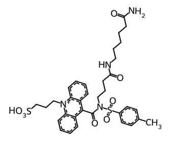 Cc1ccc(S(=O)(=O)N(CCCC(=O)NCCCCCC(N)=O)C(=O)c2c3ccccc3[n+](CCCS(=O)(=O)O)c3ccccc23)cc1